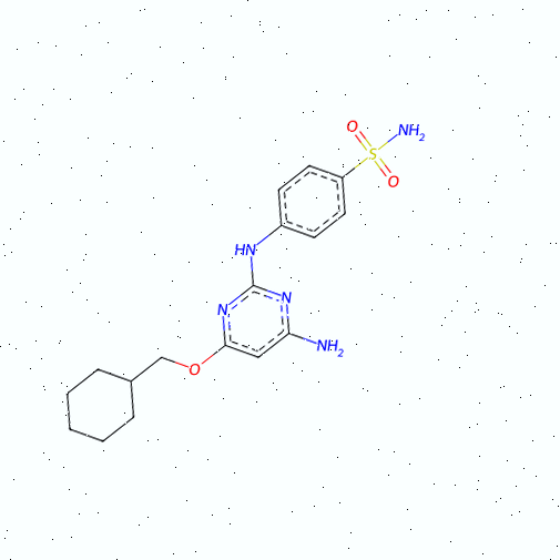 Nc1cc(OCC2CCCCC2)nc(Nc2ccc(S(N)(=O)=O)cc2)n1